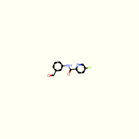 O=Cc1cccc(NC(=O)c2ccc(F)cn2)c1